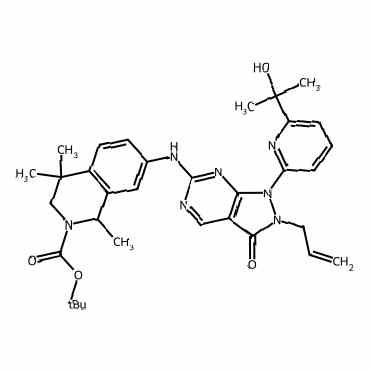 C=CCn1c(=O)c2cnc(Nc3ccc4c(c3)C(C)N(C(=O)OC(C)(C)C)CC4(C)C)nc2n1-c1cccc(C(C)(C)O)n1